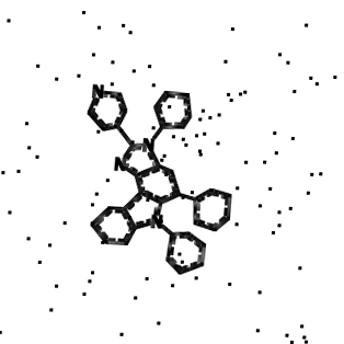 c1ccc(-c2cc3c(nc(-c4ccncc4)n3-c3ccccc3)c3c4ccccc4n(-c4ccccc4)c23)cc1